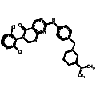 CN(C)C1CCCN(Cc2ccc(Nc3ncc4c(n3)SCN(c3c(Cl)cccc3Cl)C4=O)cc2)C1